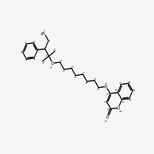 CC(C)CC(c1ccccc1)C(C)(C)OCCCCCCCCOc1cc(=O)oc2ccccc12